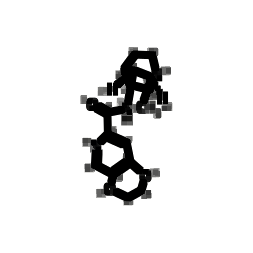 C[C@H]1[C@H](NC(=O)c2cc3c(cn2)OCCO3)C2CCN1CC2